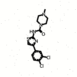 CN1CCN(C(=O)Nc2nc(-c3ccc(Cl)c(Cl)c3)cs2)CC1